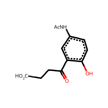 CC(=O)Nc1ccc(O)c(C(=O)CCC(=O)O)c1